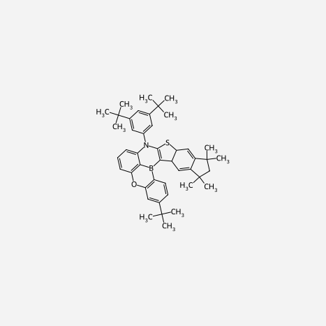 CC1(C)CC(C)(C)C2=CC3C4=C(SC3C=C21)N(c1cc(C(C)(C)C)cc(C(C)(C)C)c1)c1cccc2c1B4c1ccc(C(C)(C)C)cc1O2